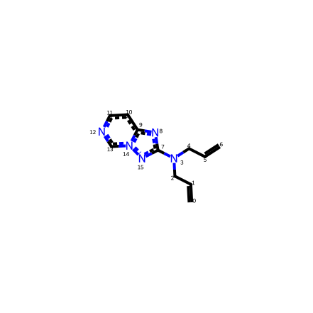 C=CCN(CC=C)c1nc2ccncn2n1